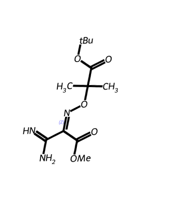 COC(=O)/C(=N\OC(C)(C)C(=O)OC(C)(C)C)C(=N)N